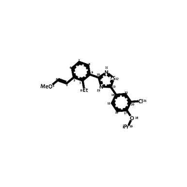 CCc1c(C=COC)cccc1-c1nsc(-c2ccc(OC(C)C)c(Cl)c2)n1